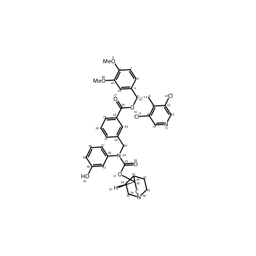 COc1ccc([C@H](Cc2c(Cl)cncc2Cl)OC(=O)c2cccc(CN(C(=O)O[C@H]3CN4CCC3CC4)c3cccc(O)c3)c2)cc1OC